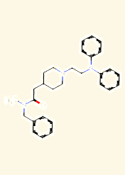 CN(Cc1ccccc1)C(=O)CC1CCN(CCN(c2ccccc2)c2ccccc2)CC1